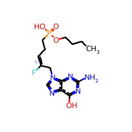 CCCCOP(=O)(O)CC/C=C(/F)Cn1cnc2c(O)nc(N)nc21